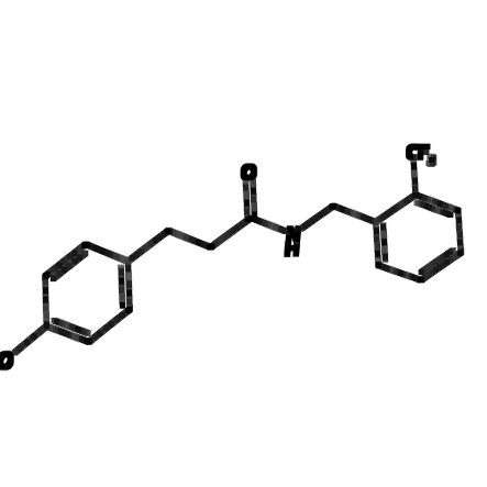 O=C(CCc1ccc(O)cc1)NCc1ccccc1C(F)(F)F